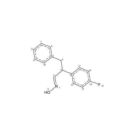 ON=CC(Cc1ccccc1)c1ccc(F)cc1